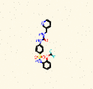 O=C(NCc1cccnc1)Nc1ccc(S(=O)(=O)Nc2ccccc2OC(F)F)cc1